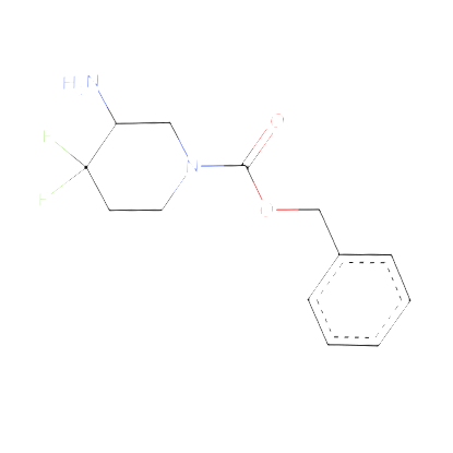 NC1CN(C(=O)OCc2ccccc2)CCC1(F)F